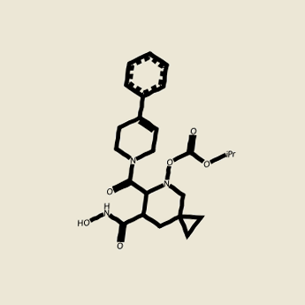 CC(C)OC(=O)ON1CC2(CC2)CC(C(=O)NO)C1C(=O)N1CC=C(c2ccccc2)CC1